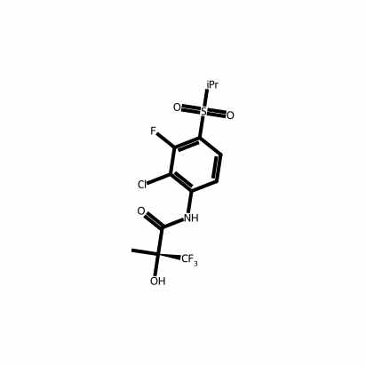 CC(C)S(=O)(=O)c1ccc(NC(=O)[C@@](C)(O)C(F)(F)F)c(Cl)c1F